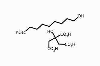 CCCCCCCCCCCCCCCCCCO.O=C(O)CC(O)(CC(=O)O)C(=O)O